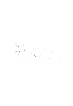 COC12CCC(O)C(C=CC(O)CC3CCCCC3)C1CC2=O